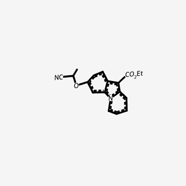 CCOC(=O)c1c2ccc(OC(C)C#N)cc2n2ccccc12